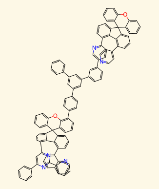 c1ccc(-c2cc(-c3ccc(-c4cccc5c4Oc4ccccc4C54c5cccc(-c6cc(-c7ccccc7)nc(-c7ccccc7)n6)c5-c5c(-c6cccc7cccnc67)cccc54)cc3)cc(-c3cccc(-c4ccc(-c5cccc6c5-c5c(-c7ccncc7)cccc5C65c6ccccc6Oc6ccccc65)nc4)c3)c2)cc1